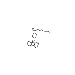 CCCCCCC(C)(C)C(=O)c1ccc(-n2c3ccccc3c3ccccc32)cc1